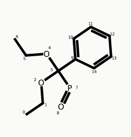 CCOC(OCC)(P=O)c1ccccc1